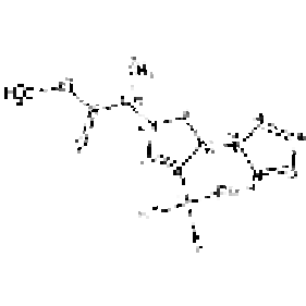 COC(=O)[C@H](C)N1C=C(C(F)(F)F)N(n2cccn2)C1